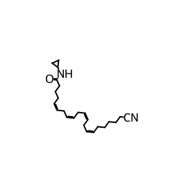 N#CCCCCC/C=C\C/C=C\C/C=C\C/C=C\CCCC(=O)NC1CC1